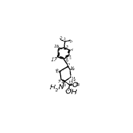 CC(C)c1ccc(C2CCC(N)(C(=O)O)CC2)cc1